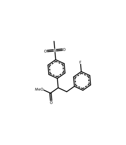 COC(=O)C(Cc1cccc(F)c1)c1ccc(S(C)(=O)=O)cc1